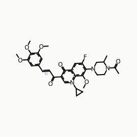 COc1cc(/C=C/C(=O)c2cn(C3CC3)c3c(OC)c(N4CCN(C(C)=O)C(C)C4)c(F)cc3c2=O)cc(OC)c1OC